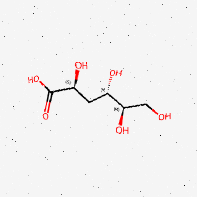 O=C(O)[C@@H](O)C[C@H](O)[C@H](O)CO